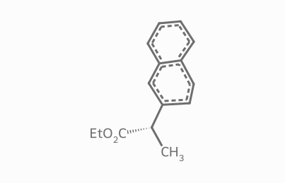 CCOC(=O)[C@@H](C)c1ccc2ccccc2c1